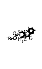 CC1C(=O)c2ccccc2OC12CCN(C(=O)OC(C)(C)C)CC2